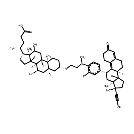 CC#C[C@@]1(O)CC[C@H]2[C@@H]3CCC4=CC(=O)CCC4=C3[C@@H](c3ccc(N(C)CCO[C@H]4CC[C@@]5(C)[C@@H](C4)C[C@@H](O)[C@@H]4[C@@H]5C[C@H](O)[C@]5(C)[C@@H]([C@H](C)CCC(=O)O)CC[C@@H]45)c(F)c3)C[C@@]21C